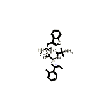 C/C=C(/C[C@@H](NC(=O)C(C)(C)N)C(=O)N[C@H](Cc1csc2ccccc12)NC=O)c1ccccc1C